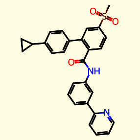 CS(=O)(=O)c1ccc(C(=O)Nc2cccc(-c3ccccn3)c2)c(-c2ccc(C3CC3)cc2)c1